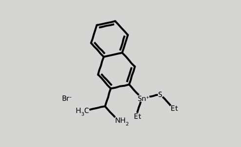 CC[S][Sn+]([CH2]C)[c]1cc2ccccc2cc1C(C)N.[Br-]